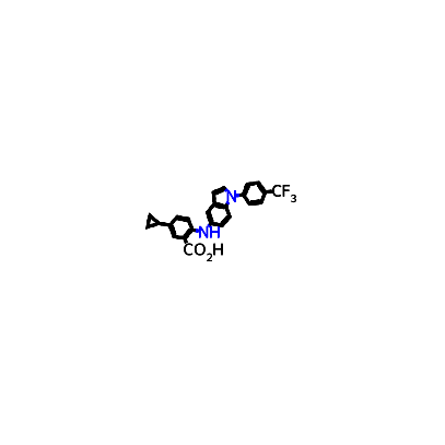 O=C(O)c1cc(C2CC2)ccc1Nc1ccc2c(ccn2-c2ccc(C(F)(F)F)cc2)c1